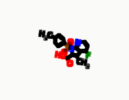 Cc1ccc(S(=O)(=O)n2c(C(=O)O)c(C)c3c(F)ccnc32)cc1